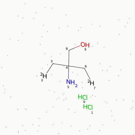 Cl.Cl.[2H]CC(N)(C[2H])CO